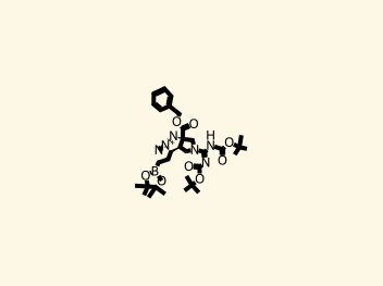 CC(C)(C)OC(=O)/N=C(/NC(=O)OC(C)(C)C)N1C[C@@H](CCCB2OC(C)(C)C(C)(C)O2)[C@@](N=[N+]=[N-])(C(=O)OCc2ccccc2)C1